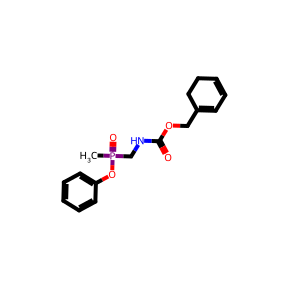 CP(=O)(CNC(=O)OCC1=CC=CCC1)Oc1ccccc1